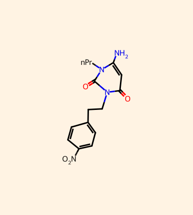 CCCn1c(N)cc(=O)n(CCc2ccc([N+](=O)[O-])cc2)c1=O